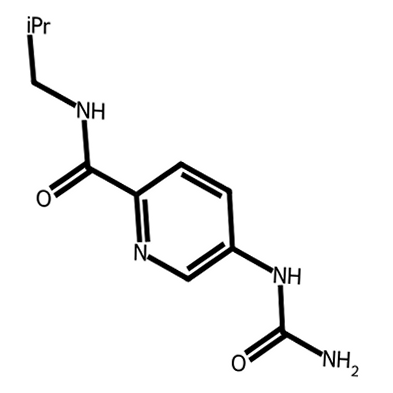 CC(C)CNC(=O)c1ccc(NC(N)=O)cn1